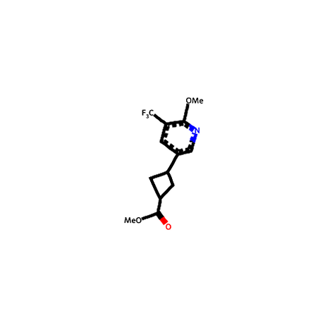 COC(=O)C1CC(c2cnc(OC)c(C(F)(F)F)c2)C1